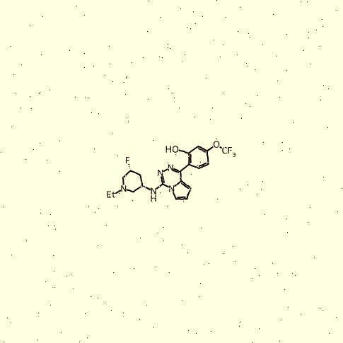 CCN1C[C@H](F)C[C@@H](Nc2nnc(-c3ccc(OC(F)(F)F)cc3O)c3cccn23)C1